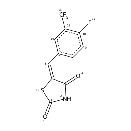 O=C1NC(=O)/C(=C\c2ccc(F)c(C(F)(F)F)c2)S1